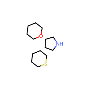 C1CCNC1.C1CCOCC1.C1CCSCC1